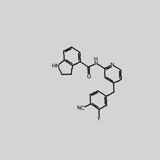 N#Cc1ccc(Cc2ccnc(NC(=O)c3cccc4c3CCN4)c2)cc1F